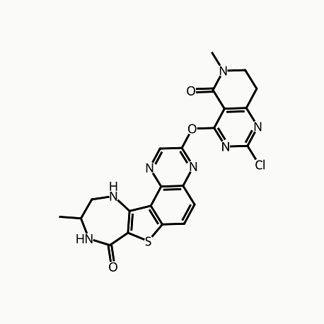 CC1CNc2c(sc3ccc4nc(Oc5nc(Cl)nc6c5C(=O)N(C)CC6)cnc4c23)C(=O)N1